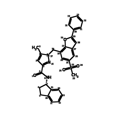 Cc1cc(C(=O)N[C@H]2CCc3ccccc32)nn1Cc1cc(S(C)(=O)=O)cc2cc(-c3ccccc3)oc12